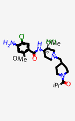 COc1cc(N)c(Cl)cc1C(=O)N[C@@H]1CCN(CC2CCN(C(=O)C(C)C)CC2)C[C@@H]1OC.Cl